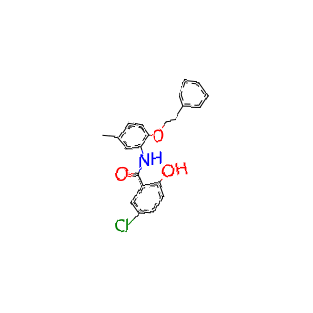 Cc1ccc(OCCc2ccccc2)c(NC(=O)c2cc(Cl)ccc2O)c1